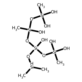 C[SiH](C)O[Si](O)(O[Si](C)(O)O)O[Si](C)(O)O[Si](C)(O)O